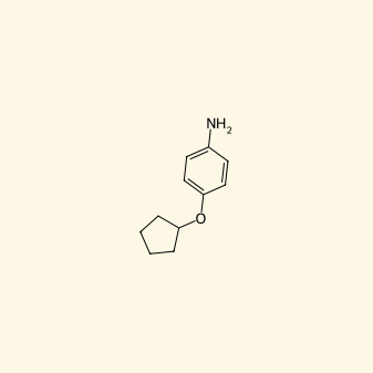 Nc1ccc(OC2CCCC2)cc1